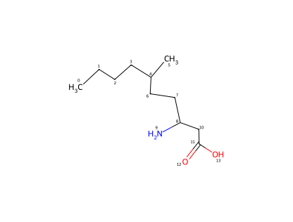 CCCCC(C)CCC(N)CC(=O)O